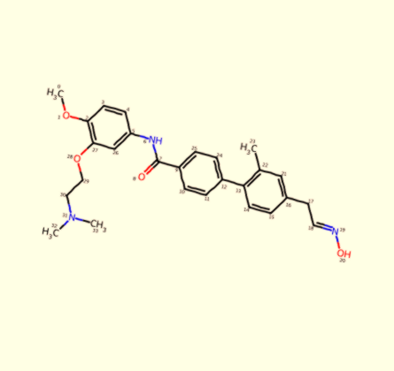 COc1ccc(NC(=O)c2ccc(-c3ccc(CC=NO)cc3C)cc2)cc1OCCN(C)C